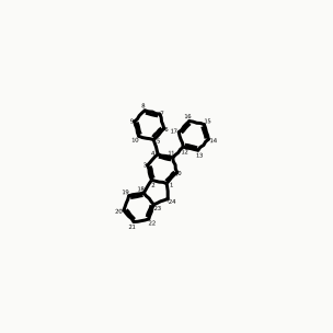 [c]1c2c(cc(-c3ccccc3)c1-c1ccccc1)-c1ccccc1[CH]2